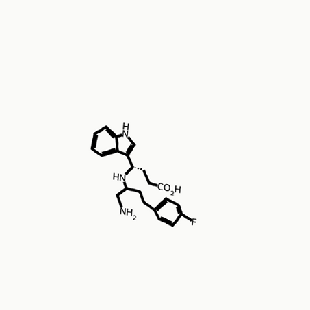 NCC(CCc1ccc(F)cc1)N[C@@H](CCC(=O)O)c1c[nH]c2ccccc12